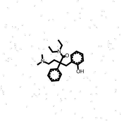 CCN(CC)C(=O)C(CCN(C)C)(Cc1ccccc1O)c1ccccc1